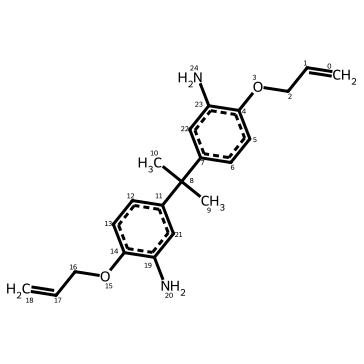 C=CCOc1ccc(C(C)(C)c2ccc(OCC=C)c(N)c2)cc1N